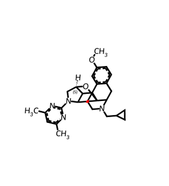 COc1ccc2c(c1)C13CCN(CC4CC4)C(C2)C12CCC1C3[C@@H](CN1c1nc(C)cc(C)n1)O2